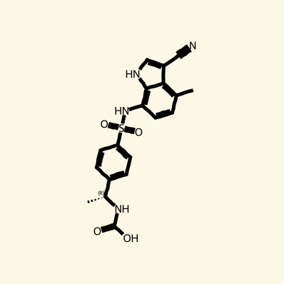 Cc1ccc(NS(=O)(=O)c2ccc([C@@H](C)NC(=O)O)cc2)c2[nH]cc(C#N)c12